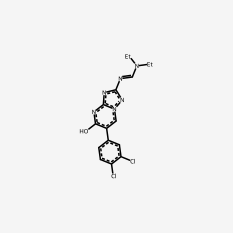 CCN(/C=N/c1nc2nc(O)c(-c3ccc(Cl)c(Cl)c3)cn2n1)CC